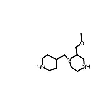 COCC1CNCCN1CC1CCNCC1